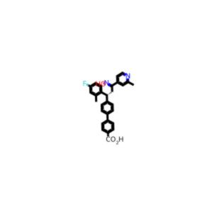 Cc1cc(/C(C[C@H](c2ccc(-c3ccc(C(=O)O)cc3)cc2)c2ccc(F)cc2C)=N/O)ccn1